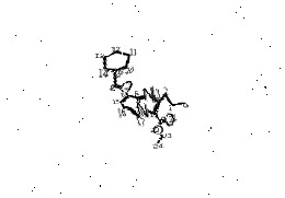 CCCc1nc2c(OCC3CCCCC3)cccn2c1C(=O)OCC